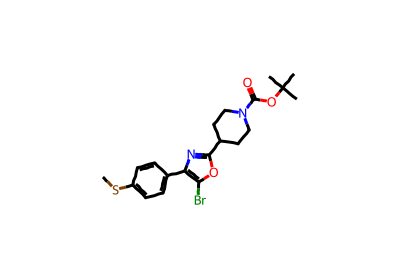 CSc1ccc(-c2nc(C3CCN(C(=O)OC(C)(C)C)CC3)oc2Br)cc1